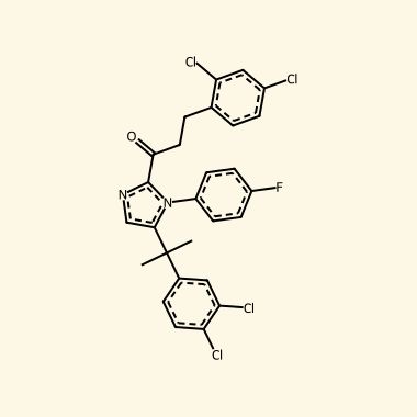 CC(C)(c1ccc(Cl)c(Cl)c1)c1cnc(C(=O)CCc2ccc(Cl)cc2Cl)n1-c1ccc(F)cc1